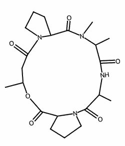 CC1CC(=O)N2CCCC2C(=O)N(C)C(C)C(=O)NC(C)C(=O)N2CCCC2C(=O)O1